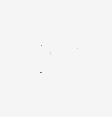 C[C@H]1OCC2(c3cc([N+](=O)[O-])ccc3F)N=C(N)O[C@H](C(F)(F)F)[C@H]12